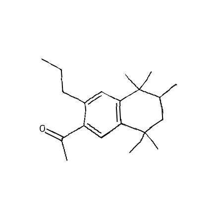 CCCc1cc2c(cc1C(C)=O)C(C)(C)CC(C)C2(C)C